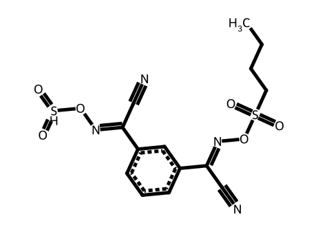 CCCCS(=O)(=O)ON=C(C#N)c1cccc(C(C#N)=NO[SH](=O)=O)c1